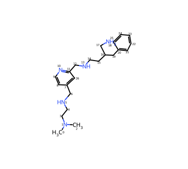 CN(C)CCNCc1ccnc(CNCCC(CN)Cc2ccccc2)c1